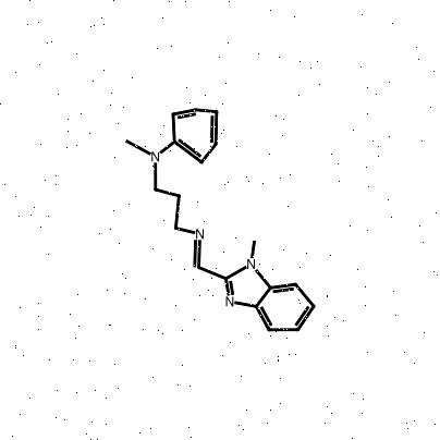 CN(CCC/N=C/c1nc2ccccc2n1C)c1ccccc1